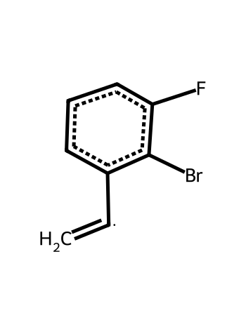 C=[C]c1cccc(F)c1Br